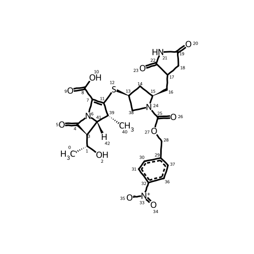 C[C@@H](O)[C@H]1C(=O)N2C(C(=O)O)=C(S[C@H]3C[C@@H](CC4CC(=O)NC4=O)N(C(=O)OCc4ccc([N+](=O)[O-])cc4)C3)[C@H](C)[C@H]12